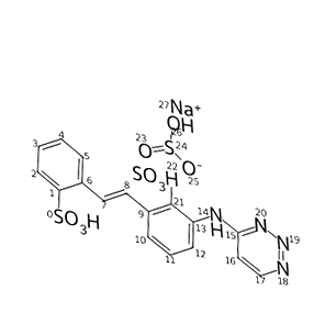 O=S(=O)(O)c1ccccc1C=Cc1cccc(Nc2ccnnn2)c1S(=O)(=O)O.O=S([O-])O.[Na+]